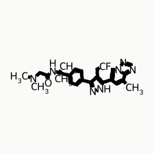 Cc1cc(-c2[nH]nc(-c3ccc(C(C)(C)NC(=O)CN(C)C)cc3)c2CC(F)(F)F)cn2ncnc12